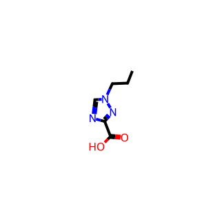 CCCn1cnc(C(=O)O)n1